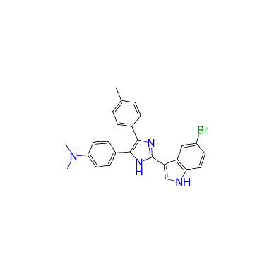 Cc1ccc(-c2nc(-c3c[nH]c4ccc(Br)cc34)[nH]c2-c2ccc(N(C)C)cc2)cc1